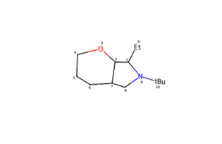 CCC1C2OCCCC2CN1C(C)(C)C